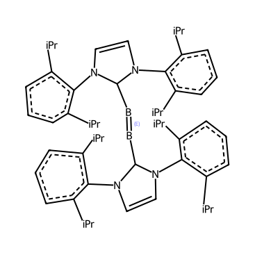 CC(C)c1cccc(C(C)C)c1N1C=CN(c2c(C(C)C)cccc2C(C)C)C1/B=B/C1N(c2c(C(C)C)cccc2C(C)C)C=CN1c1c(C(C)C)cccc1C(C)C